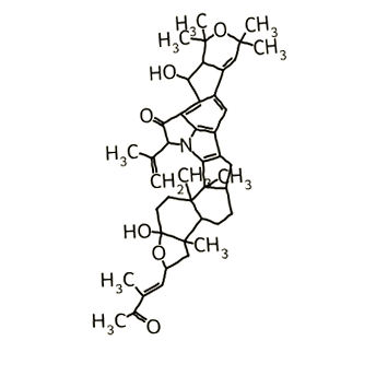 C=C(C)C1C(=O)c2c3c(cc4c5c(n1c24)C1(C)C(CCC2C4(C)CC(/C=C(\C)C(C)=O)OC4(O)CCC21C)C5)C1=CC(C)(C)OC(C)(C)C1C3O